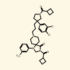 O=C(C1CCC1)N1CCC(CCCN2CCC3(CC2)C(=O)N(C(=O)C2CCC2)CN3c2cccc(C(F)(F)F)c2)(c2ccc(Cl)c(Cl)c2)C1